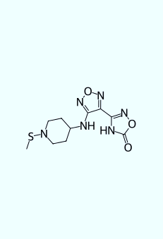 CSN1CCC(Nc2nonc2-c2noc(=O)[nH]2)CC1